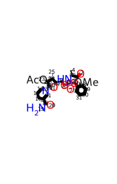 COC(=O)[C@H](C)NP(=O)(OC[C@H]1O[C@@H](N2C=CCC(C(N)=O)=C2)[C@H](OC(C)=O)[C@@H]1C)Oc1ccccc1